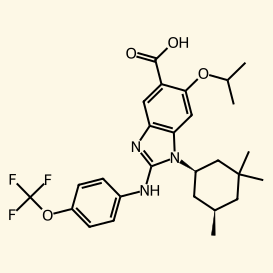 CC(C)Oc1cc2c(cc1C(=O)O)nc(Nc1ccc(OC(F)(F)F)cc1)n2[C@@H]1C[C@H](C)CC(C)(C)C1